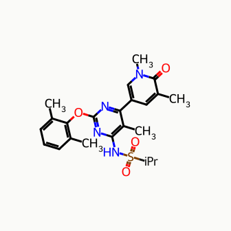 Cc1cccc(C)c1Oc1nc(NS(=O)(=O)C(C)C)c(C)c(-c2cc(C)c(=O)n(C)c2)n1